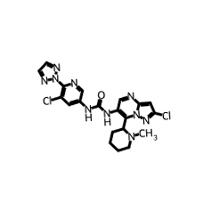 CN1CCCCC1c1c(NC(=O)Nc2cnc(-n3nccn3)c(Cl)c2)cnc2cc(Cl)nn12